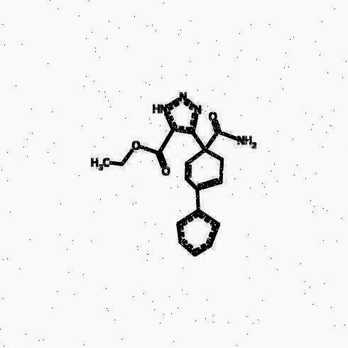 CCOC(=O)c1[nH]nnc1C1(C(N)=O)C=CC(c2ccccc2)=CC1